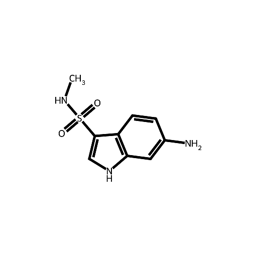 CNS(=O)(=O)c1c[nH]c2cc(N)ccc12